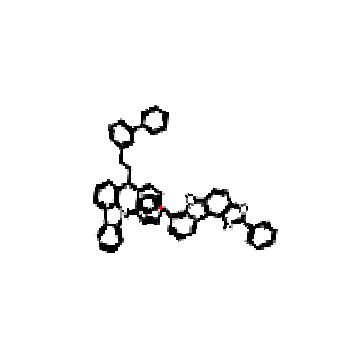 c1ccc(-c2cccc(CCC(c3ccc(-c4cccc5c4oc4ccc6oc(-c7ccccc7)nc6c45)cc3)c3cccc4c5ccccc5n(-c5ccccc5)c34)c2)cc1